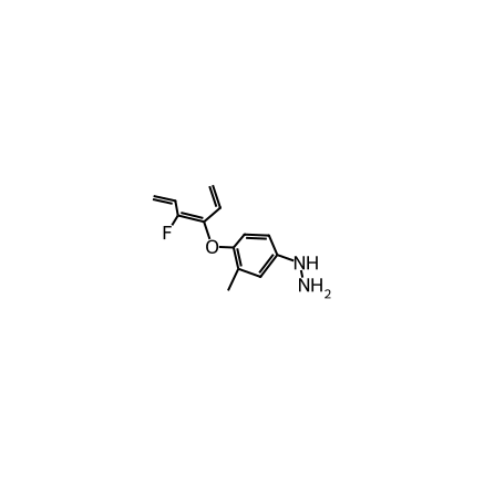 C=C/C(F)=C(\C=C)Oc1ccc(NN)cc1C